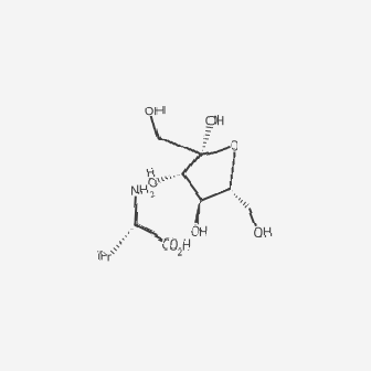 CC(C)[C@H](N)C(=O)O.OC[C@H]1O[C@](O)(CO)[C@@H](O)[C@@H]1O